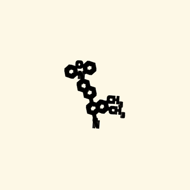 Cc1cc2c(C#N)ccc(-c3ccc4cc(N5c6ccccc6Oc6ccccc65)ccc4c3)c2cc1C